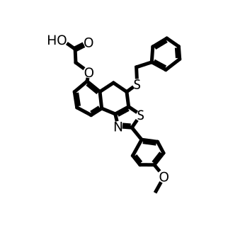 COc1ccc(-c2nc3c(s2)C(SCc2ccccc2)Cc2c(OCC(=O)O)cccc2-3)cc1